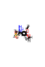 [2H]C([2H])([2H])Oc1ccc([C@]([2H])(N)CS(C)(=O)=O)cc1OCC